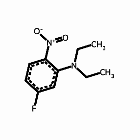 CCN(CC)c1cc(F)ccc1[N+](=O)[O-]